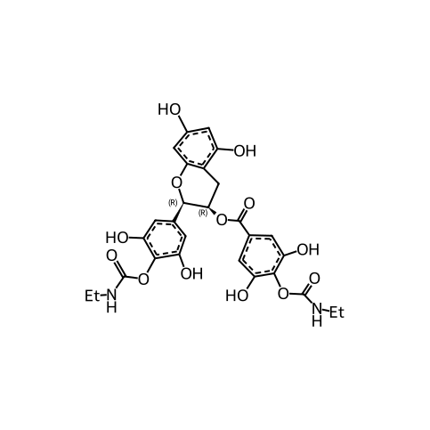 CCNC(=O)Oc1c(O)cc(C(=O)O[C@@H]2Cc3c(O)cc(O)cc3O[C@@H]2c2cc(O)c(OC(=O)NCC)c(O)c2)cc1O